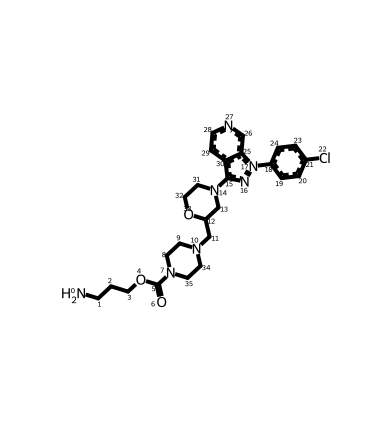 NCCCOC(=O)N1CCN(CC2CN(c3nn(-c4ccc(Cl)cc4)c4cnccc34)CCO2)CC1